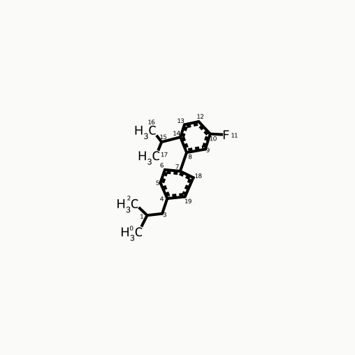 CC(C)Cc1ccc(-c2cc(F)ccc2C(C)C)cc1